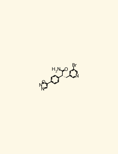 NC(=O)[C@H](Cc1cncc(Br)c1)c1ccc(-c2cnno2)cc1